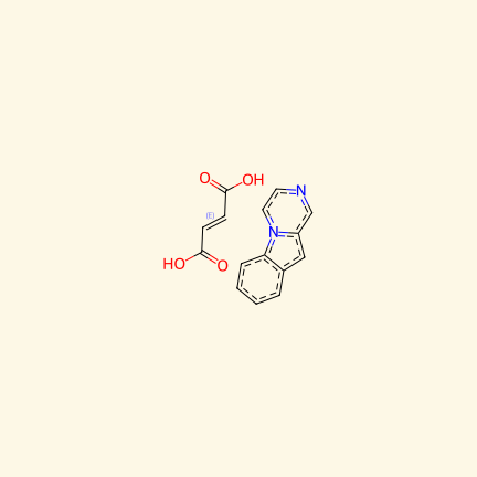 O=C(O)/C=C/C(=O)O.c1ccc2c(c1)cc1cnccn12